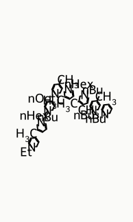 CCCCCCCCN1C=CC(C)=CC1.CCCCCCN1C=CC=C(C)C1.CCCCCCN1C=CC=CC1.CCCCN1C=CC(C)=C(C)C1.CCCCN1C=CC(C)=CC1.CCCCN1C=CC=C(C)C1.CCCCN1C=CC=CC1.CCN1C=CC=CC1